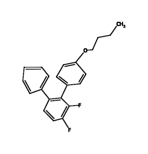 CCCCOc1ccc(-c2c(-c3ccccc3)ccc(F)c2F)cc1